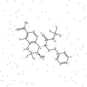 Cc1c([N+](=O)[O-])ccc2c1OC(C)(C)[C@H](O)[C@H]2N(CCc1ccccc1)C(=O)OC(C)(C)C